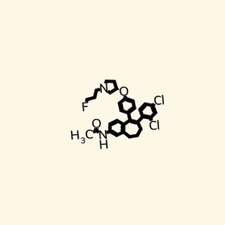 CC(=O)Nc1ccc2c(c1)CCCC(c1ccc(Cl)cc1Cl)=C2c1ccc(O[C@H]2CCN(CCCF)C2)cc1